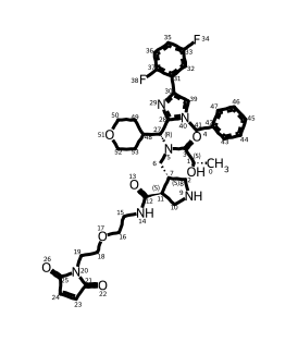 C[C@H](O)C(=O)N(C[C@@H]1CNC[C@H]1C(=O)NCCOCCN1C(=O)C=CC1=O)[C@@H](c1nc(-c2cc(F)ccc2F)cn1Cc1ccccc1)C1CCOCC1